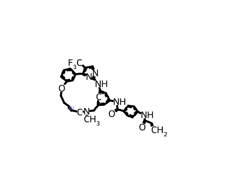 C=CC(=O)Nc1ccc(C(=O)Nc2cc3cc(c2)Nc2ncc(C(F)(F)F)c(n2)-c2cccc(c2)OCC/C=C/CN(C)C3)cc1